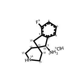 Cl.N[C@@H]1c2cccc(F)c2CC12CCNCC2